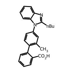 CCCCc1nc2ccccc2n1-c1ccc(-c2ccccc2C(=O)O)c(C)c1